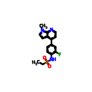 CCS(=O)(=O)Nc1ccc(-c2ccnc3c2ccn3C)cc1F